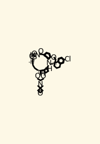 C[C@@H]1[C@@H](C)CCC[C@H]([C@H]2OC[C@H](N3CC4(COC4)C3)CO2)[C@@H]2CC[C@H]2CN2C[C@@]3(CCCc4cc(Cl)ccc43)COc3ccc(cc32)C(=O)NS1(=O)=O